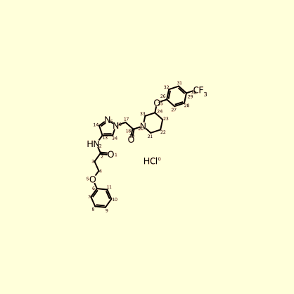 Cl.O=C(CCOc1ccccc1)Nc1cnn(CC(=O)N2CCCC(Oc3ccc(C(F)(F)F)cc3)C2)c1